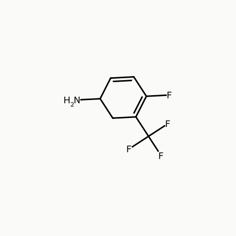 NC1C=CC(F)=C(C(F)(F)F)C1